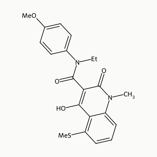 CCN(C(=O)c1c(O)c2c(SC)cccc2n(C)c1=O)c1ccc(OC)cc1